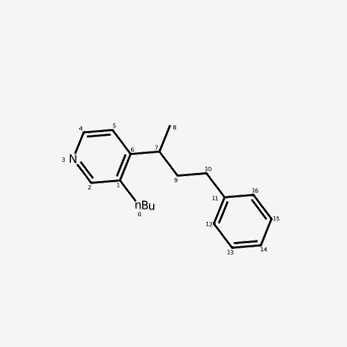 CCCCc1cnccc1C(C)CCc1ccccc1